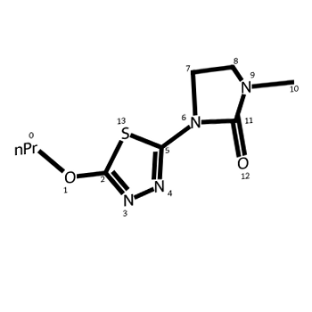 CCCOc1nnc(N2CCN(C)C2=O)s1